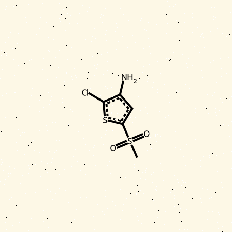 CS(=O)(=O)c1cc(N)c(Cl)s1